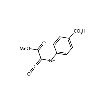 COC(=O)C(=C=O)Nc1ccc(C(=O)O)cc1